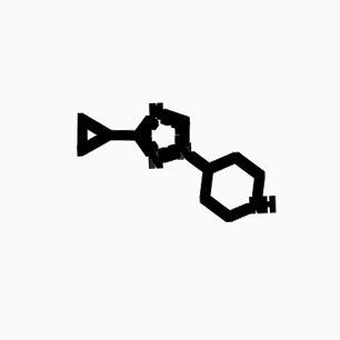 c1nc(C2CC2)nn1C1CCNCC1